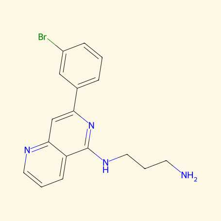 NCCCNc1nc(-c2cccc(Br)c2)cc2ncccc12